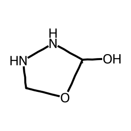 O[C]1NNCO1